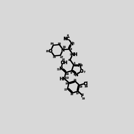 N#C/N=C(/NCc1nonc1/C(=N\O)Nc1ccc(F)c(Cl)c1)N1CCOCC1